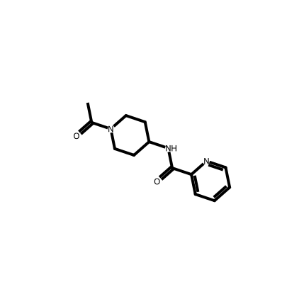 CC(=O)N1CCC(NC(=O)c2ccccn2)CC1